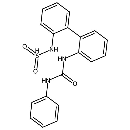 O=C(Nc1ccccc1)Nc1ccccc1-c1ccccc1N[SH](=O)=O